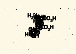 CON=C1CC(C(=O)NCC2=C(OC(=O)O)N3C(=O)C(NC(=O)/C(=N\OC(C)(C)C(=O)O)c4csc(N)n4)[C@@H]3SC2)=CC(O)=C1O